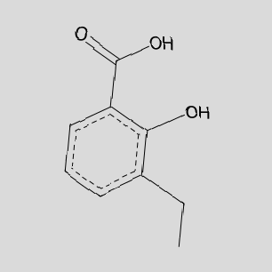 CCc1cccc(C(=O)O)c1O